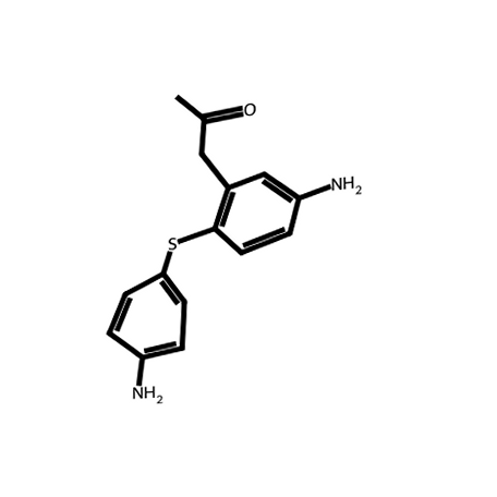 CC(=O)Cc1cc(N)ccc1Sc1ccc(N)cc1